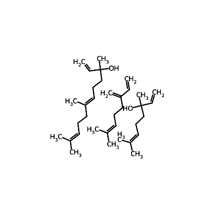 C=CC(=C)CCC=C(C)C.C=CC(C)(O)CC/C=C(\C)CCC=C(C)C.C=CC(C)(O)CCC=C(C)C